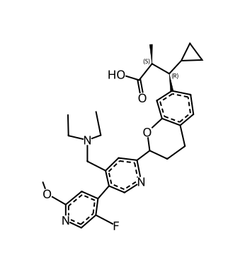 CCN(CC)Cc1cc(C2CCc3ccc([C@H](C4CC4)[C@H](C)C(=O)O)cc3O2)ncc1-c1cc(OC)ncc1F